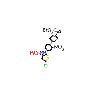 CCOC(=O)C1(c2ccc(-c3ccc(-c4sc(Cl)cc4NO)cc3[N+](=O)[O-])cc2)CC1